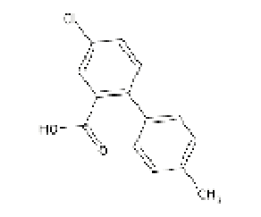 Cc1ccc(-c2ccc(Cl)cc2C(=O)O)cc1